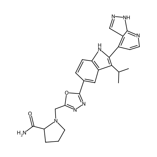 CC(C)c1c(-c2ccnc3[nH]ncc23)[nH]c2ccc(-c3nnc(CN4CCCC4C(N)=O)o3)cc12